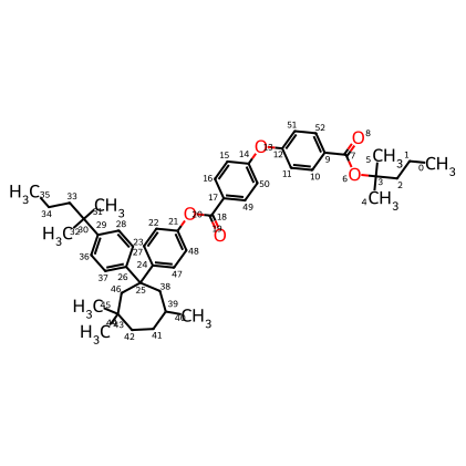 CCCC(C)(C)OC(=O)c1ccc(Oc2ccc(C(=O)Oc3ccc(C4(c5ccc(C(C)(C)CCC)cc5)CC(C)CCC(C)(C)C4)cc3)cc2)cc1